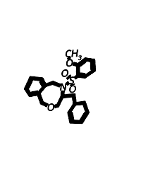 COc1ccccc1S(=O)(=O)N1Cc2ccccc2COCC1CC1C=CC=CC1